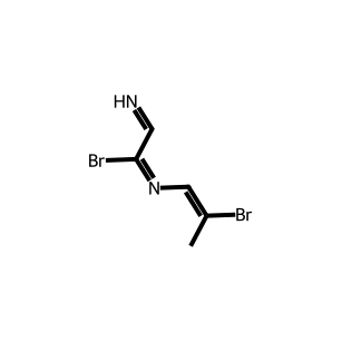 C/C(Br)=C\N=C(\Br)C=N